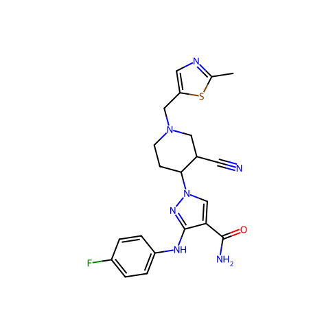 Cc1ncc(CN2CCC(n3cc(C(N)=O)c(Nc4ccc(F)cc4)n3)C(C#N)C2)s1